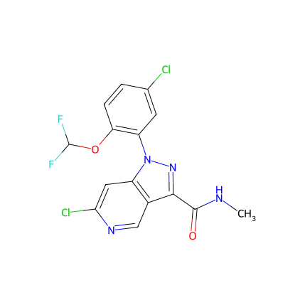 CNC(=O)c1nn(-c2cc(Cl)ccc2OC(F)F)c2cc(Cl)ncc12